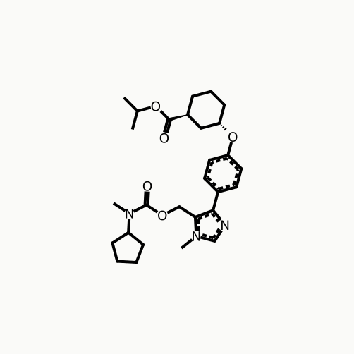 CC(C)OC(=O)[C@H]1CCC[C@H](Oc2ccc(-c3ncn(C)c3COC(=O)N(C)C3CCCC3)cc2)C1